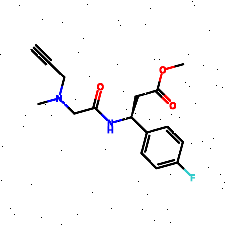 C#CCN(C)CC(=O)N[C@@H](CC(=O)OC)c1ccc(F)cc1